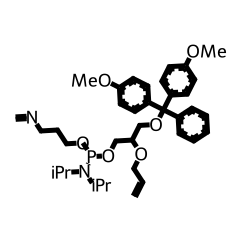 C=CCOC(COP(OCCCN=C)N(C(C)C)C(C)C)COC(c1ccccc1)(c1ccc(OC)cc1)c1ccc(OC)cc1